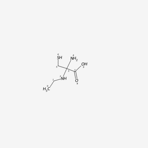 CCNC(N)(CS)C(=O)O